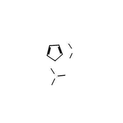 CN(C)C.[CH]1C=CC=C1.[Cl][Ti][Cl]